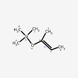 C/C=C(\C)O[Si](C)(C)C